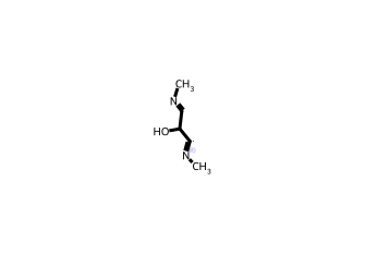 CN=CC(O)/[C]=N/C